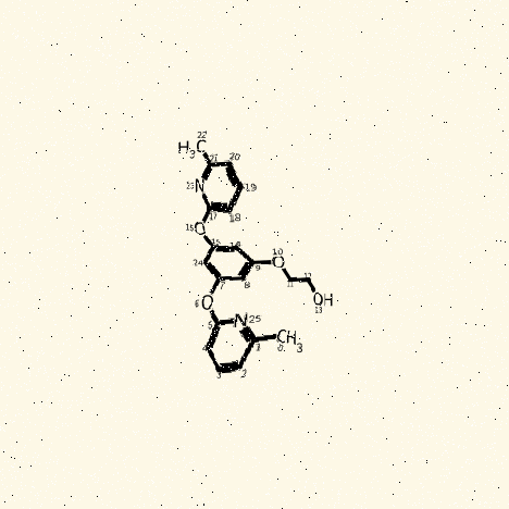 Cc1cccc(Oc2cc(OCCO)cc(Oc3cccc(C)n3)c2)n1